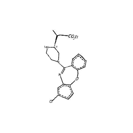 CCOC(=O)C(C)[C@H]1CN(C2=Nc3cc(Cl)ccc3Oc3ccccc32)CCN1